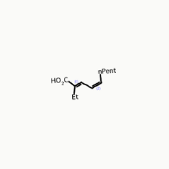 CCCCC/C=C\C=C(/CC)C(=O)O